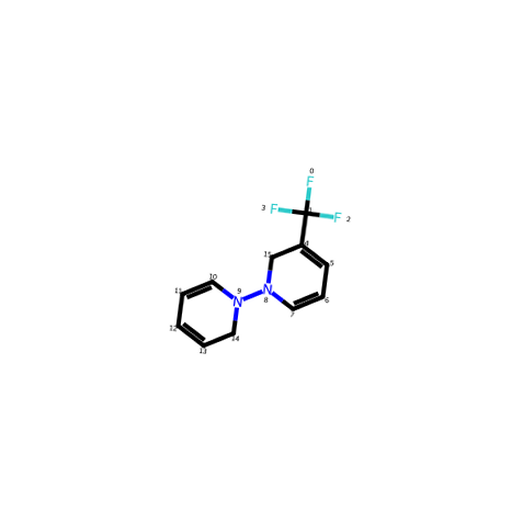 FC(F)(F)C1=CC=CN(N2C=CC=CC2)C1